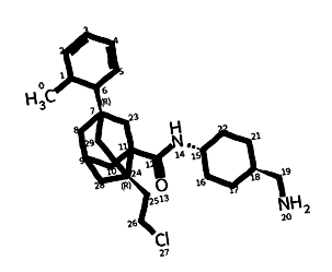 CC1C=CC=CC1[C@@]12CC3CC(C(=O)N[C@H]4CC[C@H](CN)CC4)(C1)[C@](CCCl)(C3)C2